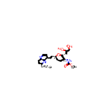 COc1ccc2nccc(C=C[C@@H]3CC[C@@H](NC(=O)OC(C)(C)C)[C@@H](CC(O)CO)O3)c2n1